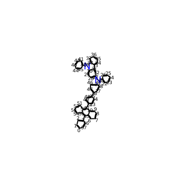 c1ccc(-c2c3ccccc3c(-c3ccc(-c4ccc(N(c5ccccc5)c5ccc6c(c5)c5ccccc5n6-c5ccccc5)cc4)cc3)c3ccccc23)cc1